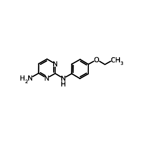 CCOc1ccc(Nc2nccc(N)n2)cc1